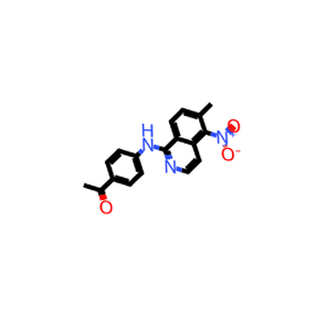 CC(=O)c1ccc(Nc2nccc3c([N+](=O)[O-])c(C)ccc23)cc1